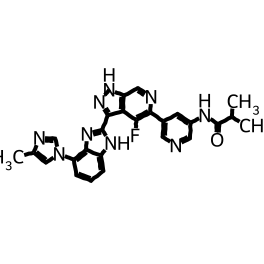 Cc1cn(-c2cccc3[nH]c(-c4n[nH]c5cnc(-c6cncc(NC(=O)C(C)C)c6)c(F)c45)nc23)cn1